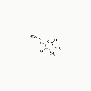 C#CCOC1OC(CC)C(C)C(C)C1C